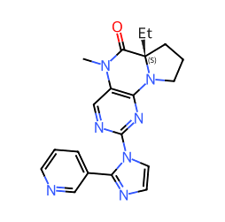 CC[C@@]12CCCN1c1nc(-n3ccnc3-c3cccnc3)ncc1N(C)C2=O